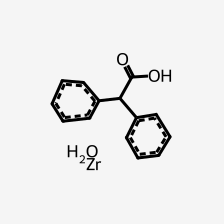 O.O=C(O)C(c1ccccc1)c1ccccc1.[Zr]